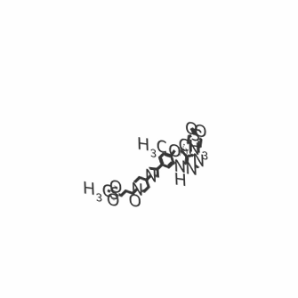 Cc1cc(C2CN(C3CCN(C(=O)CCS(C)(=O)=O)CC3)C2)cc2c1O[C@H](C)c1c(ncnc1N1CCS(=O)(=O)CC1)N2